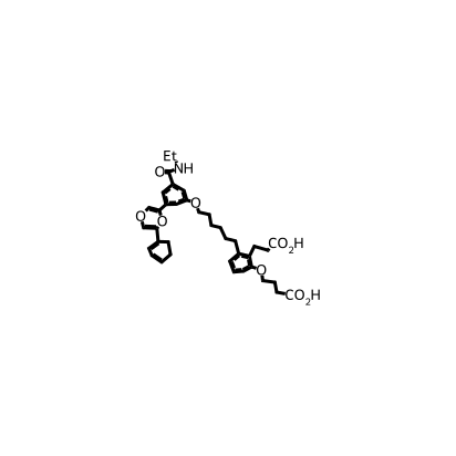 CCNC(=O)c1cc(OCCCCCCc2cccc(OCCCC(=O)O)c2CCC(=O)O)cc(C2=COC=C(C3=CC=CCC3)O2)c1